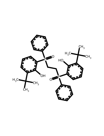 CC(C)(C)c1cccc(P(=O)(CCP(=O)(c2ccccc2)c2cccc(C(C)(C)C)c2O)c2ccccc2)c1O